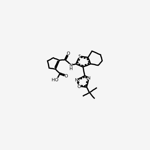 CC(C)(C)c1nc(-c2c(NC(=O)C3=C(C(=O)O)CCC3)sc3c2CCCC3)no1